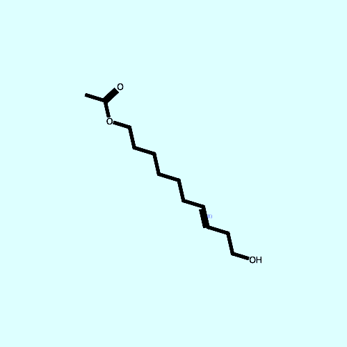 CC(=O)OCCCCCC/C=C/CCO